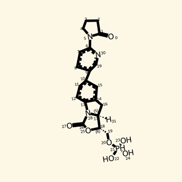 O=C1CCCN1c1ccc(-c2ccc3c(c2)C[C@H]2[C@H](CO[PH](O)(O)O)OC(=O)N32)cn1